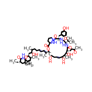 CC[C@H]1C[C@H](C)[C@@]2(NC1=O)O[C@@H](C[C@H](O)[C@@H](C)CC/C=C/C=C(\C)[C@@H]1CC(O)C/C=C/[C@H](O)[C@H](C)[C@@H](O)[C@@H](CCC(C)=O)C(=O)N[C@@H](C(C)C)C(=O)N[C@@H](Cc3cccc(O)c3)C(=O)N3CCCC(N3)C(=O)O1)[C@H](C)C=C2C